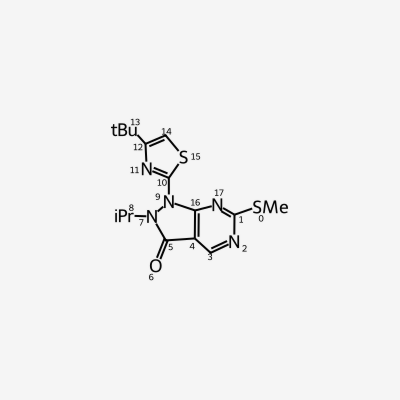 CSc1ncc2c(=O)n(C(C)C)n(-c3nc(C(C)(C)C)cs3)c2n1